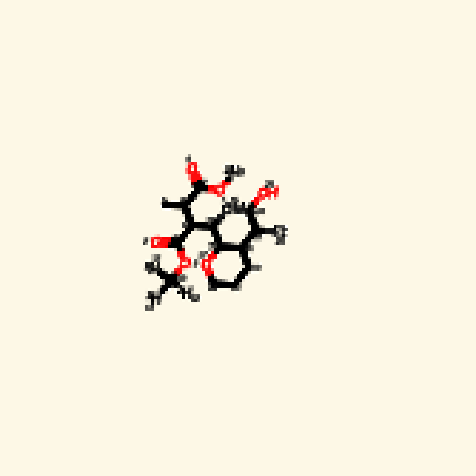 [2H]OC(=O)C(C)C(C(=O)OC([2H])([2H])[2H])C(OC)C1OCCCC1C(CC)CO